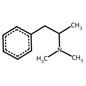 CC(Cc1ccccc1)N(C)C